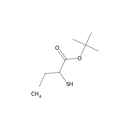 C.CCC(S)C(=O)OC(C)(C)C